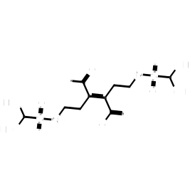 CC(C)S(=O)(=O)NCCC(C(=O)O)=C(CCNS(=O)(=O)C(C)C)C(=O)O